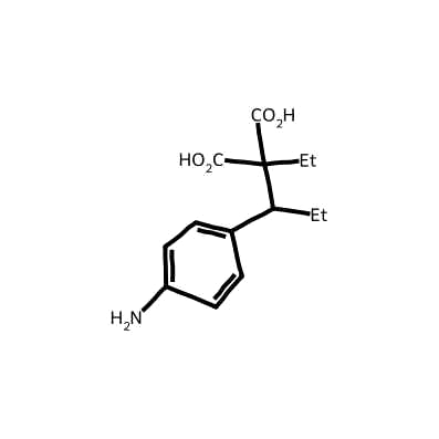 CCC(c1ccc(N)cc1)C(CC)(C(=O)O)C(=O)O